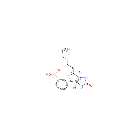 O=C(O)CCCC[C@@H]1SC[C@@H]2NC(=O)N[C@@H]21.OB(O)c1ccccc1